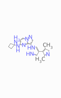 CC1=NCC(C)=C1/C(C=N)=C/Nc1cnn2ccc(NC3(N)CCC3)nc12